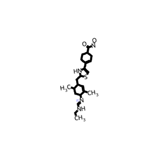 CCN/C=N/C1CC(C)C(CC2NC(C3=CCC(C(=O)N=O)CC3)=CS2)C=C1C